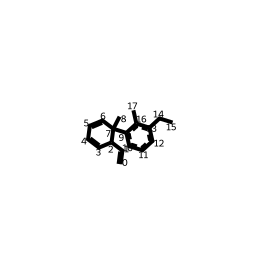 C=CC1C=CC=CC1(C)c1cccc(CC)c1C